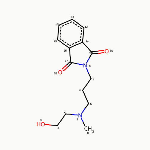 CN(CCO)CCCN1C(=O)c2ccccc2C1=O